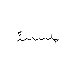 CC(CCCOCOCCCC(C)C1CO1)C1CO1